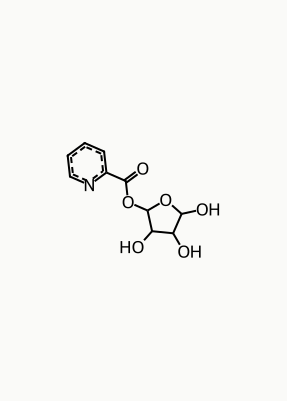 O=C(OC1OC(O)C(O)C1O)c1ccccn1